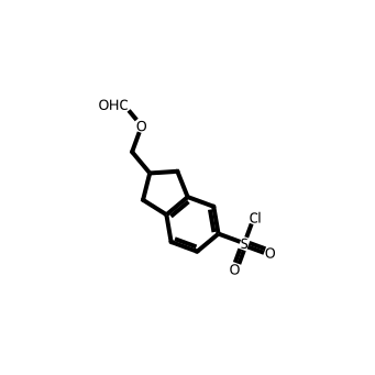 O=COCC1Cc2ccc(S(=O)(=O)Cl)cc2C1